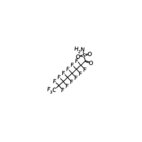 NS(=O)(=O)C(=O)C(F)(F)C(F)(F)C(F)(F)C(F)(F)C(F)(F)C(F)(F)C(F)(F)F